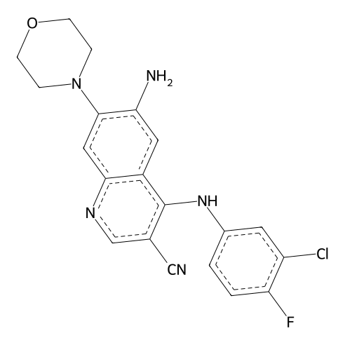 N#Cc1cnc2cc(N3CCOCC3)c(N)cc2c1Nc1ccc(F)c(Cl)c1